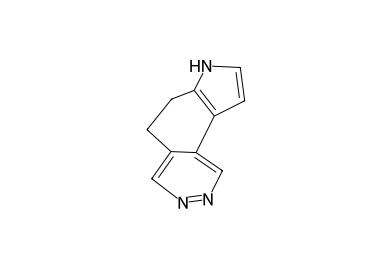 c1cc2c([nH]1)CCc1cnncc1-2